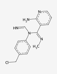 CN=C(c1cccnc1N)N(C=N)c1ccc(CCl)cc1